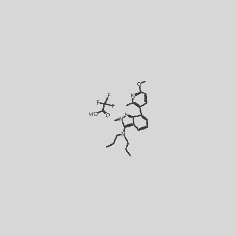 CCCN(CCC)c1c2cccc(-c3ccc(OC)nc3C)c2nn1C.O=C(O)C(F)(F)F